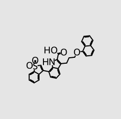 O=C(O)c1[nH]c2c(C3=CS(=O)(=O)c4ccccc43)cccc2c1CCCOc1cccc2ccccc12